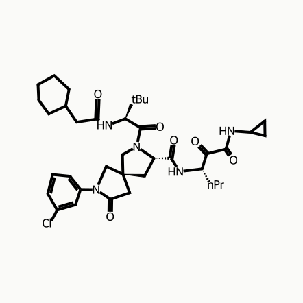 CCC[C@H](NC(=O)[C@@H]1C[C@]2(CC(=O)N(c3cccc(Cl)c3)C2)CN1C(=O)[C@@H](NC(=O)CC1CCCCC1)C(C)(C)C)C(=O)C(=O)NC1CC1